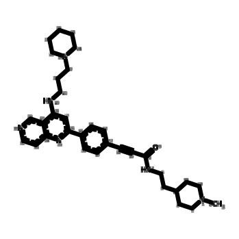 CN1CCC(CCNC(=O)C#Cc2ccc(-c3cc(NCCCN4CCCCC4)c4cnccc4n3)cc2)CC1